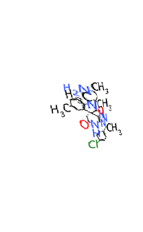 Cc1ccc2c(c1)[C@@]1(CC(=O)Nc3c1nnn3[C@@H](C)c1ccc(Cl)cc1)C(=O)N2C(C)(C)CC(C)N